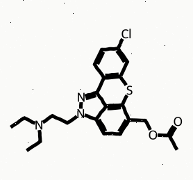 CCN(CC)CCn1nc2c3c(c(COC(C)=O)ccc31)Sc1cc(Cl)ccc1-2